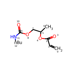 C=CC(=O)OC(C)COC(=O)NCCCC